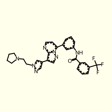 O=C(Nc1cccc(-c2ccnc3c(-c4cnn(CCN5CCCC5)c4)cnn23)c1)c1cccc(C(F)(F)F)c1